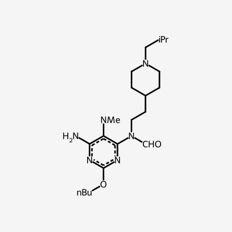 CCCCOc1nc(N)c(NC)c(N(C=O)CCC2CCN(CC(C)C)CC2)n1